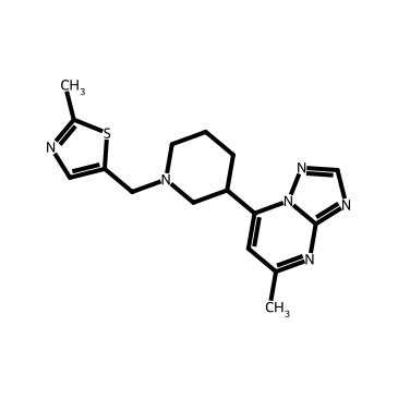 Cc1cc(C2CCCN(Cc3cnc(C)s3)C2)n2ncnc2n1